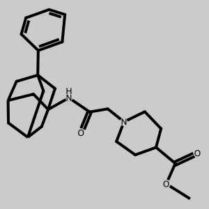 COC(=O)C1CCN(CC(=O)NC23CC4CC(C2)CC(c2ccccc2)(C4)C3)CC1